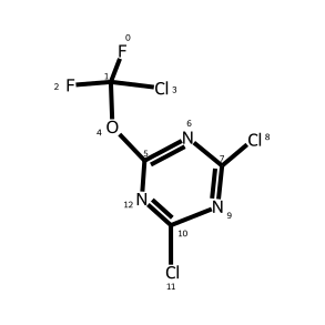 FC(F)(Cl)Oc1nc(Cl)nc(Cl)n1